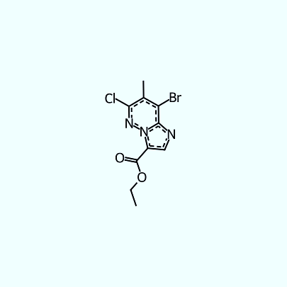 CCOC(=O)c1cnc2c(Br)c(C)c(Cl)nn12